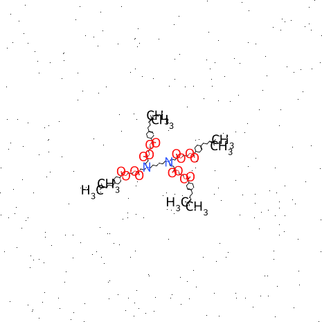 CC(C)=CCCC1=CCC(C(=O)OCCOC(=O)CCN(CCCCCCN(CCC(=O)OCCOC(=O)C2CC=C(CCC=C(C)C)CC2)CCC(=O)OCCOC(=O)C2CC=C(CCC=C(C)C)CC2)CCC(=O)OCCOC(=O)C2CC=C(CCC=C(C)C)CC2)CC1